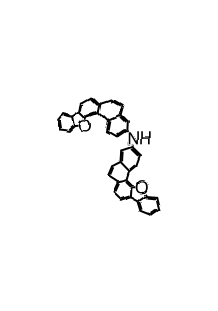 c1ccc2c(c1)oc1c2ccc2ccc3cc(Nc4ccc5c(ccc6ccc7c8ccccc8oc7c65)c4)ccc3c21